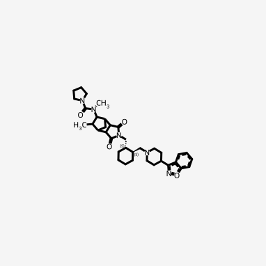 CC1C2CC(C3C(=O)N(C[C@H]4CCCC[C@@H]4CN4CCC(c5noc6ccccc56)CC4)C(=O)C23)C1N(C)C(=O)N1CCCC1